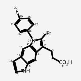 CC(C)c1c(CCC(=O)O)c2cc3[nH]ccc3cc2n1-c1ccc(F)cc1